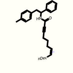 CCCCCCCCCC/C=C\CCCC#CC(=O)NC(Cc1ccc(C)cc1)c1ccccc1